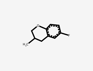 CC1COc2ccc(F)cc2C1